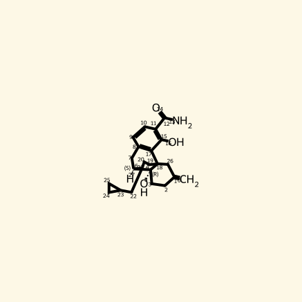 C=C1CC[C@@]2(O)[C@H]3Cc4ccc(C(N)=O)c(O)c4C2(CCC3CC2CC2)C1